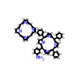 C1=CC2=NC1=CC1=NC(=CC3=NC(=CC4=NC(=C2)C=C4)C=C3)C=C1.Nc1cccc(C2=C3C=CC(=N3)C(c3ccccc3)=C3C=CC(=N3)C(c3ccccc3)=C3C=CC(=N3)C(c3ccccc3)=C3C=CC2=N3)c1